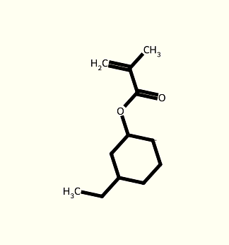 C=C(C)C(=O)OC1[CH]CCC(CC)C1